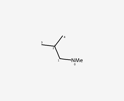 CNC[C](C)C